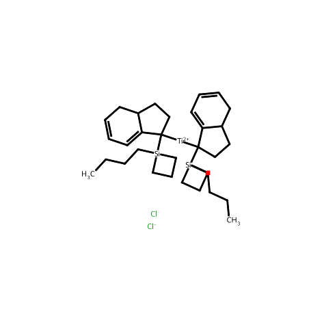 CCCC[Si]1([C]2([Ti+2][C]3([Si]4(CCCC)CCC4)CCC4CC=CC=C43)CCC3CC=CC=C32)CCC1.[Cl-].[Cl-]